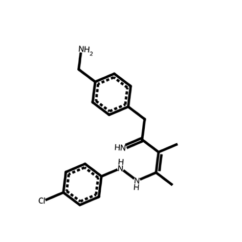 CC(NNc1ccc(Cl)cc1)=C(C)C(=N)Cc1ccc(CN)cc1